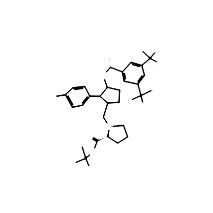 C[C@@H](OC1CCC(CN2CCC[C@H]2C(=O)OC(C)(C)C)C1c1ccc(F)cc1)c1cc(C(F)(F)F)cc(C(F)(F)F)c1